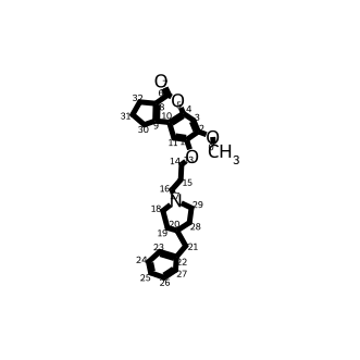 COc1cc2oc(=O)c3c(c2cc1OCCCN1CCC(Cc2ccccc2)CC1)CCC3